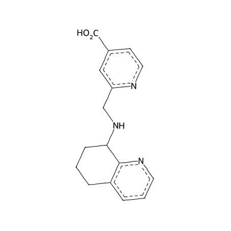 O=C(O)c1ccnc(CNC2CCCc3cccnc32)c1